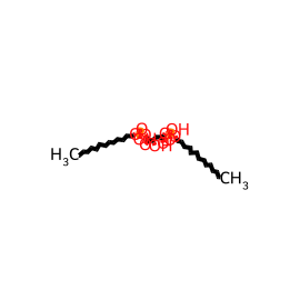 CCCCCCCCCCCCCCOP(=O)(O)OC(=O)CC(O)C(=O)OP(=O)(O)OCCCCCCCCCCCCCC